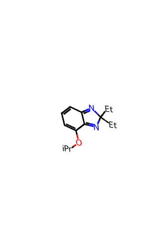 CCC1(CC)N=c2cccc(OC(C)C)c2=N1